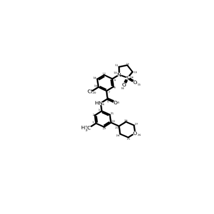 Cc1cc(NC(=O)c2cc(N3CCCS3(=O)=O)ccc2Cl)cc(C2CCOCC2)c1